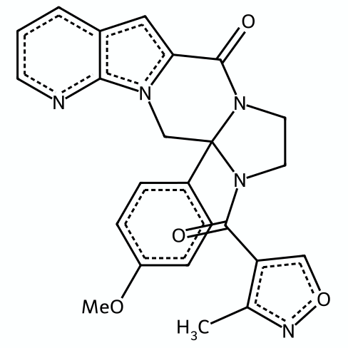 COc1ccc(C23Cn4c(cc5cccnc54)C(=O)N2CCN3C(=O)c2conc2C)cc1